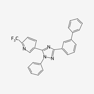 FC(F)(F)c1ccc(-c2nc(-c3cccc(-c4ccccc4)c3)nn2-c2ccccc2)cn1